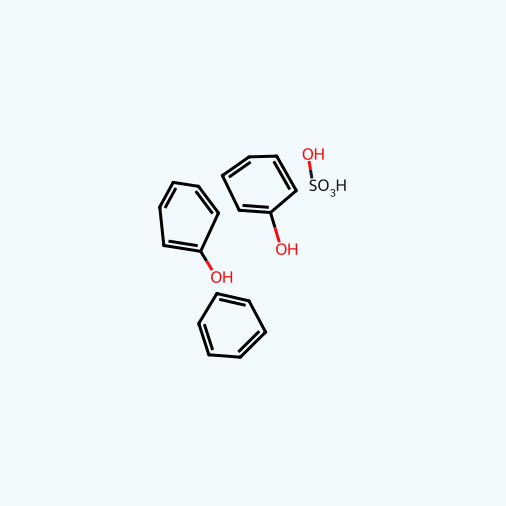 O=S(=O)(O)O.Oc1ccccc1.Oc1ccccc1.c1ccccc1